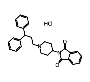 Cl.O=C1c2ccccc2C(=O)N1C1CCN(CCC(c2ccccc2)c2ccccc2)CC1